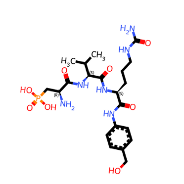 CC(C)[C@H](NC(=O)[C@@H](N)CP(=O)(O)O)C(=O)N[C@@H](CCCNC(N)=O)C(=O)Nc1ccc(CO)cc1